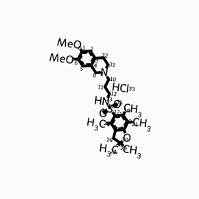 COc1cc2c(cc1OC)CN(CCCNS(=O)(=O)c1c(C)c(C)c3c(c1C)CC(C)(C)O3)CC2.Cl